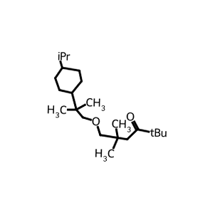 CC(C)C1CCC(C(C)(C)COCC(C)(C)CC(=O)C(C)(C)C)CC1